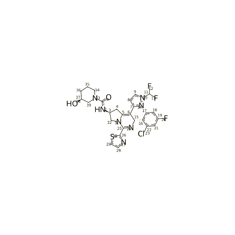 O=C(N[C@H]1CC2=C(c3ccn(C(F)F)n3)[C@H](c3ccc(F)cc3Cl)N=C(c3nccs3)N2C1)N1CCC[C@H](O)C1